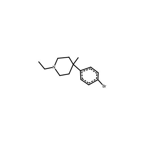 CCN1CCC(C)(c2ccc(Br)cc2)CC1